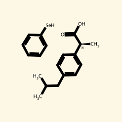 CC(C)Cc1ccc([C@H](C)C(=O)O)cc1.[SeH]c1ccccc1